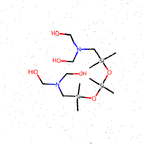 C[Si](C)(CN(CO)CO)O[Si](C)(C)O[Si](C)(C)CN(CO)CO